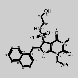 CC(C)CN1C(=O)N(C)C(=O)C2C1SC(Cc1cccc3ccccc13)C2S(=O)(=O)NCCO